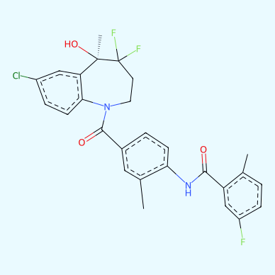 Cc1cc(C(=O)N2CCC(F)(F)[C@](C)(O)c3cc(Cl)ccc32)ccc1NC(=O)c1cc(F)ccc1C